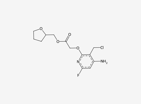 Nc1cc(F)nc(OCC(=O)OCC2CCCO2)c1CCl